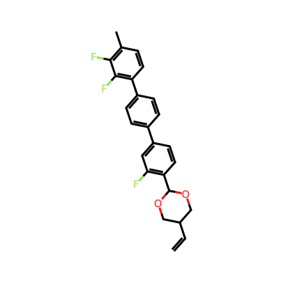 C=CC1COC(c2ccc(-c3ccc(-c4ccc(C)c(F)c4F)cc3)cc2F)OC1